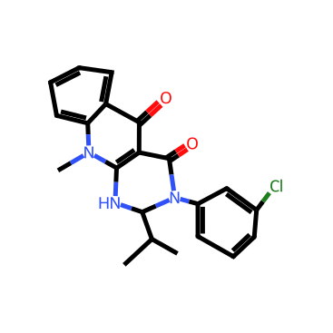 CC(C)C1Nc2c(c(=O)c3ccccc3n2C)C(=O)N1c1cccc(Cl)c1